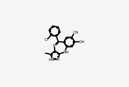 Cc1[nH]nc2c1N=C(c1ccccc1Cl)c1cc(C#N)c(O)cc1N2